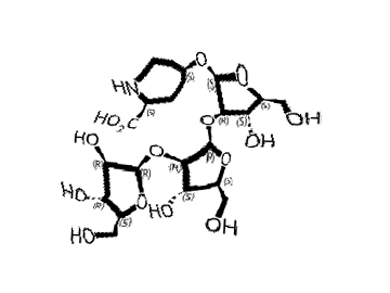 O=C(O)[C@@H]1C[C@H](O[C@H]2O[C@@H](CO)[C@H](O)[C@H]2O[C@H]2O[C@@H](CO)[C@H](O)[C@H]2O[C@H]2O[C@@H](CO)[C@H](O)[C@H]2O)CN1